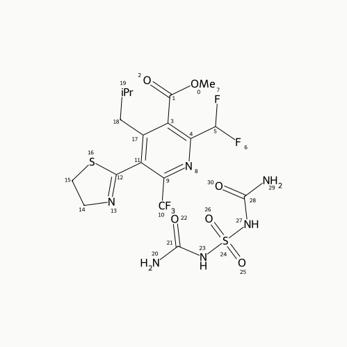 COC(=O)c1c(C(F)F)nc(C(F)(F)F)c(C2=NCCS2)c1CC(C)C.NC(=O)NS(=O)(=O)NC(N)=O